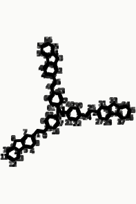 C(=C\c1ccc2c(c1)Cc1ccccc1-2)/c1ccc(N(c2ccc(/C=C/c3ccc4c(c3)Cc3ccccc3-4)cc2)c2ccc(/C=C/c3ccc4c(c3)Cc3ccccc3-4)cc2)cc1